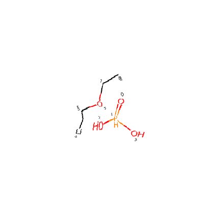 O=[PH](O)O.[Li][CH2]OCC